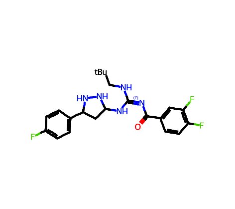 CC(C)(C)CN/C(=N/C(=O)c1ccc(F)c(F)c1)NC1CC(c2ccc(F)cc2)NN1